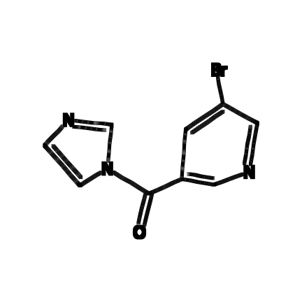 O=C(c1cncc(Br)c1)n1ccnc1